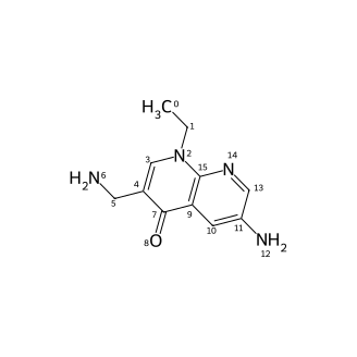 CCn1cc(CN)c(=O)c2cc(N)cnc21